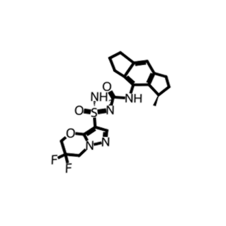 C[C@@H]1CCc2cc3c(c(NC(=O)N=[S@](N)(=O)c4cnn5c4OCC(F)(F)C5)c21)CCC3